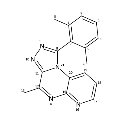 Cc1cccc(C)c1-c1nnc2c(C)nc3ncccc3n12